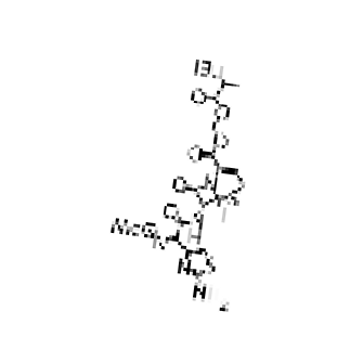 CCC(C)C(C)C(=O)OCOC(=O)C1=CCS[C@@H]2C(NC(=O)/C(=N\OC)c3csc(N)n3)C(=O)N12